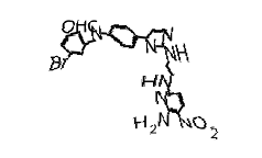 Nc1nc(NCCNc2nccc(-c3ccc(N(C=O)Cc4cccc(Br)c4)cc3)n2)ccc1[N+](=O)[O-]